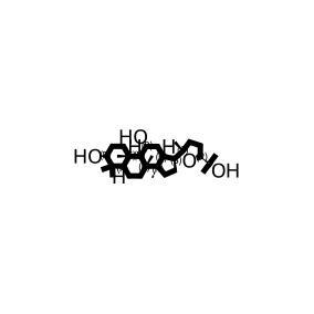 CC(C)(O)[C@H]1CC[C@@](C)([C@H]2CC[C@]3(C)[C@@H]2C[C@@H](O)[C@@H]2[C@@]4(C)CC[C@@H](O)C(C)(C)[C@@H]4CC[C@]23C)O1